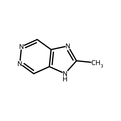 Cc1nc2cnncc2[nH]1